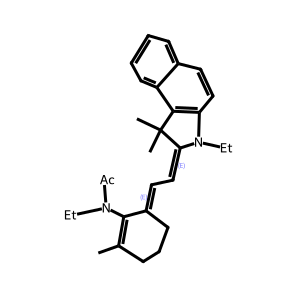 CCN(C(C)=O)C1=C(C)CCC/C1=C\C=C1\N(CC)c2ccc3ccccc3c2C1(C)C